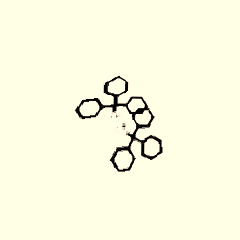 C1CCC([C]([Sn][O][Sn][C](C2CCCCC2)(C2CCCCC2)C2CCCCC2)(C2CCCCC2)C2CCCCC2)CC1